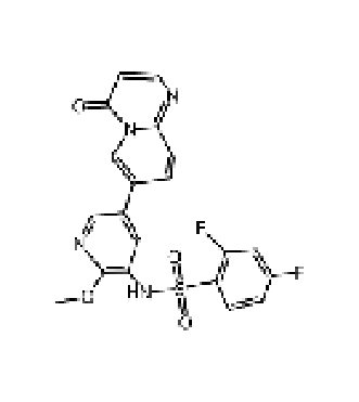 COc1ncc(-c2ccc3nccc(=O)n3c2)cc1NS(=O)(=O)c1ccc(F)cc1F